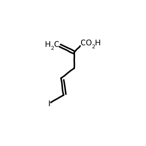 C=C(CC=CI)C(=O)O